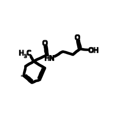 CC1(C(=O)NCCC(=O)O)C=CC=[C]C1